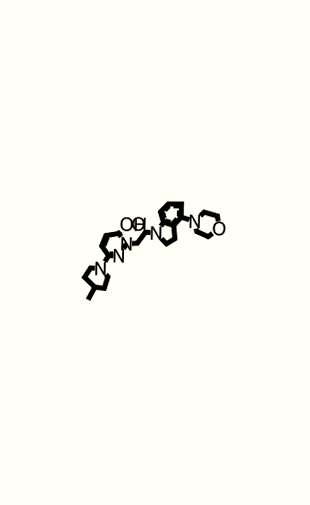 CC1CCN(C2=NN(CC(=O)N3CCc4c(N5CCOCC5)cccc43)C(O)C=C2)CC1